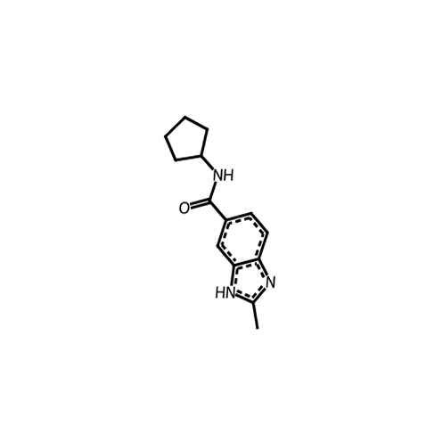 Cc1nc2ccc(C(=O)NC3CCCC3)cc2[nH]1